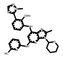 COc1c(Nc2cc(Nc3cccc(C#N)n3)nc3c2nc(C)n3C2CCCCO2)cccc1-c1ncnn1C